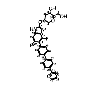 OC[C@H]1OC[C@H](Oc2nc3c(F)c(-c4ccc(-c5ccc(-c6ncco6)cc5)cc4)c(F)cc3[nH]2)C[C@@H]1O